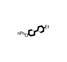 CCCO[C@H]1CC[C@H]([C@H]2CC[C@H](CC)CC2)CC1